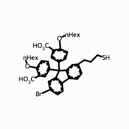 CCCCCCOc1ccc(C2(c3ccc(OCCCCCC)c(C(=O)O)c3)c3cc(Br)ccc3-c3ccc(CCCS)cc32)cc1C(=O)O